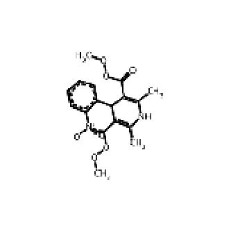 COOC(=O)C1=C(C)NC(C)=C(C(=O)OOC)C1c1ccccc1[N+](=O)[O-]